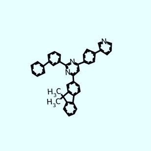 CC1(C)c2ccccc2-c2ccc(-c3cc(-c4ccc(-c5cccnc5)cc4)nc(-c4cccc(-c5ccccc5)c4)n3)cc21